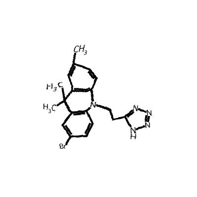 Cc1ccc2c(c1)C(C)(C)c1cc(Br)ccc1N2CCc1nnn[nH]1